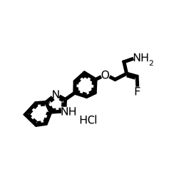 Cl.NC/C(=C/F)COc1ccc(-c2nc3ccccc3[nH]2)cc1